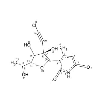 Cc1cc(=O)[nH]c(=O)n1[C@@H]1O[C@H]([C@@H](C)O)C(O)[C@]1(O)C#CCl